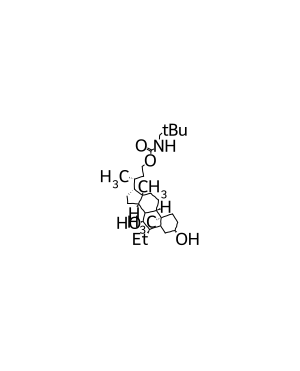 CC[C@@H]1C2C[C@H](O)CC[C@]2(C)[C@H]2CCC3(C)[C@@H]([C@H](C)CCOC(=O)NCC(C)(C)C)CC[C@H]3C2[C@@H]1O